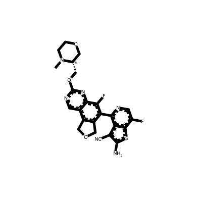 CN1CCOC[C@@H]1COc1ncc2c3c(c(-c4ncc(F)c5sc(N)c(C#N)c45)c(F)c2n1)COC3